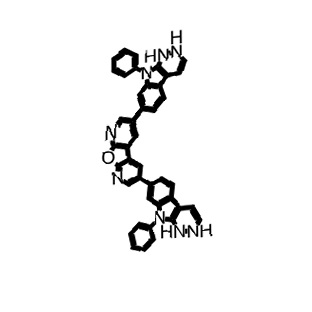 C1=Cc2c(n(-c3ccccc3)c3cc(-c4cnc5oc6ncc(-c7ccc8c9c(n(-c%10ccccc%10)c8c7)NNC=C9)cc6c5c4)ccc23)NN1